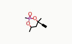 C#CC1(C)CC(C)OP(C)(=O)O1